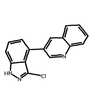 Clc1n[nH]c2cccc(-c3cnc4ccccc4c3)c12